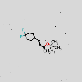 C=C(/C=C/C1CCC(F)(F)CC1)O[Si](C)(C)C